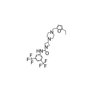 CCc1ccc(CN2CCN(C3CN(C(=O)Nc4cc(C(F)(F)F)cc(C(F)(F)F)c4)C3)CC2)o1